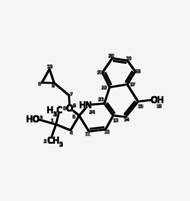 CC(C)(O)CC1(OCC2CC2)C=Cc2cc(O)c3ccccc3c2N1